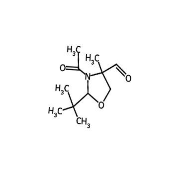 CC(=O)N1C(C(C)(C)C)OCC1(C)C=O